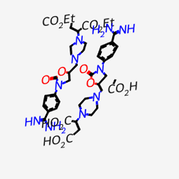 CC(=O)O.CCOC(=O)CC(C(=O)OCC)N1CCN(CC2CN(c3ccc(C(=N)N)cc3)C(=O)O2)CC1.N=C(N)c1ccc(N2CC(CN3CCN(C(CC(=O)O)C(=O)O)CC3)OC2=O)cc1